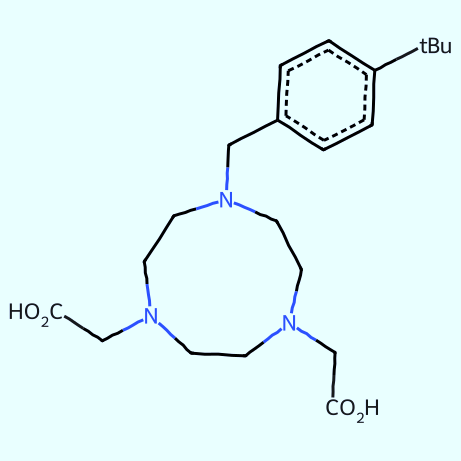 CC(C)(C)c1ccc(CN2CCN(CC(=O)O)CCN(CC(=O)O)CC2)cc1